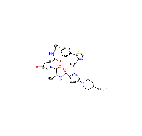 CCOC(=O)C1CCN(c2ccc(C(=O)N[C@H](C(=O)N3C[C@H](O)C[C@H]3C(=O)N[C@@H](C)c3ccc(-c4scnc4C)cc3)C(C)(C)C)nc2)CC1